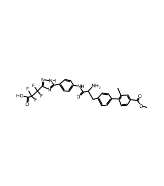 COC(=O)c1ccc(-c2ccc(CC(N)C(=O)Nc3ccc(-c4nc(C(F)(F)C(F)(F)C(=O)O)n[nH]4)cc3)cc2)c(C)c1